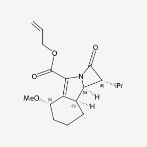 C=CCOC(=O)C1=C2[C@@H](OC)CCC[C@@H]2[C@@H]2[C@@H](C(C)C)C(=O)N12